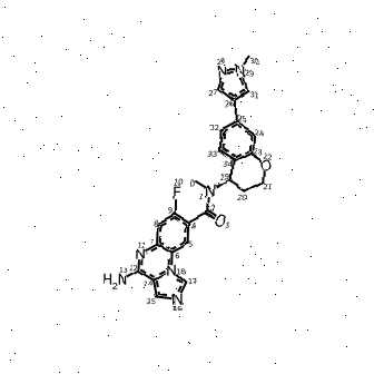 CN(C(=O)c1cc2c(cc1F)nc(N)c1cncn12)[C@@H]1CCOc2cc(-c3cnn(C)c3)ccc21